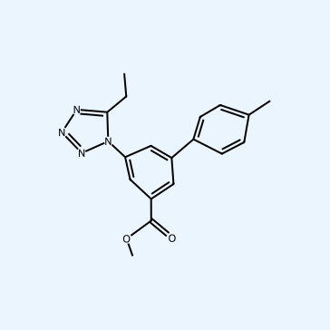 CCc1nnnn1-c1cc(C(=O)OC)cc(-c2ccc(C)cc2)c1